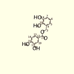 O=C(OCc1cccc(O)c1O)c1ccc(O)c(O)c1